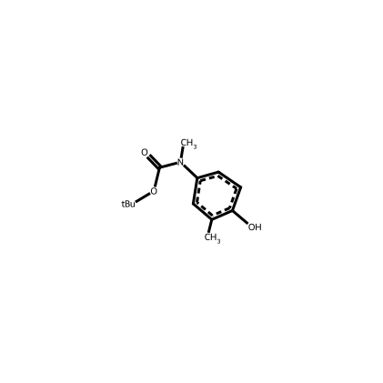 Cc1cc(N(C)C(=O)OC(C)(C)C)ccc1O